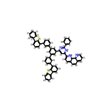 c1ccc(-c2nc(-c3cc(-c4cccc(-c5cccc6c5sc5ccccc56)c4)cc(-c4cccc(-c5cccc6c5sc5ccccc56)c4)c3)cc(-c3ccc4ccc5cccnc5c4n3)n2)cc1